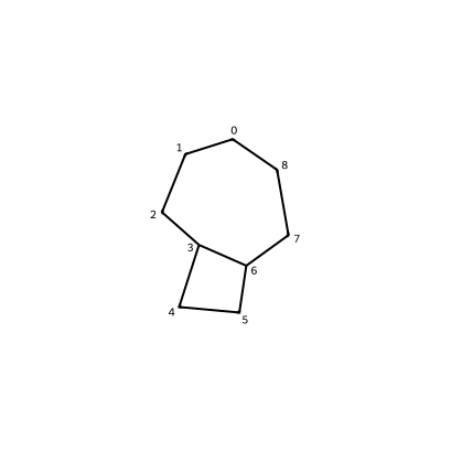 C1CCC2CCC2CC1